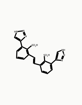 O=S(=O)(O)c1c(/C=C/c2cccc(-c3c[nH]nn3)c2S(=O)(=O)O)cccc1-c1c[nH]nn1